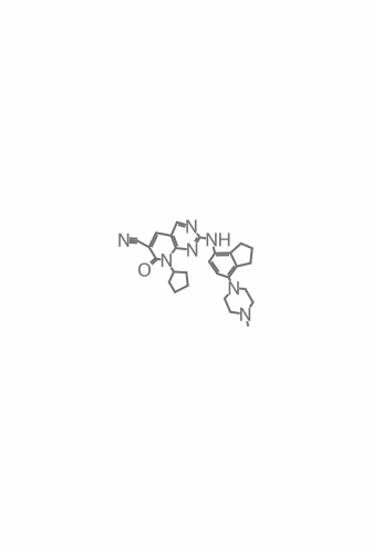 CN1CCN(c2ccc(Nc3ncc4cc(C#N)c(=O)n(C5CCCC5)c4n3)c3c2CCC3)CC1